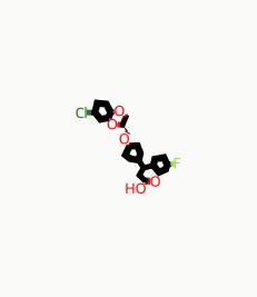 O=C(O)CC(c1ccc(F)cc1)c1ccc(OC[C@H]2COc3ccc(Cl)cc3O2)cc1